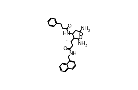 C[C@@H](CC(=O)NCc1cccc2ccccc12)C(C(N)=O)C(CC(N)=O)NC(=O)CCc1ccccc1